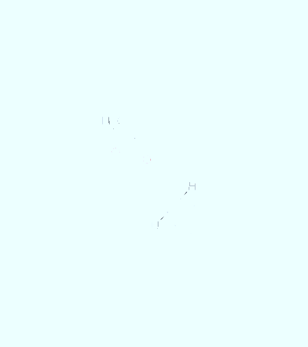 C=CC(=O)OCC1C[C@@H]2C3CCC(C3)[C@@H]2C1